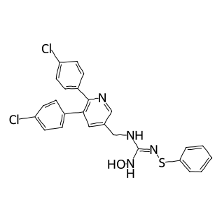 ON/C(=N\Sc1ccccc1)NCc1cnc(-c2ccc(Cl)cc2)c(-c2ccc(Cl)cc2)c1